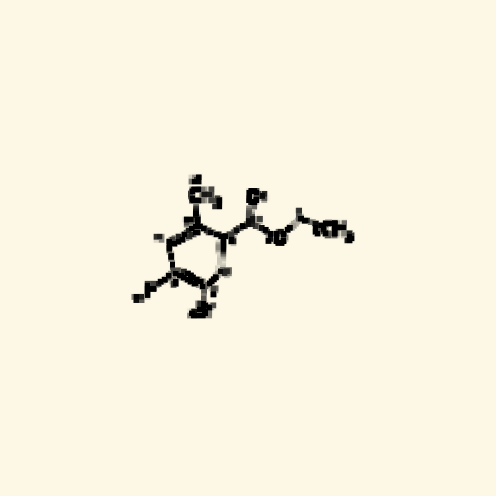 CCOC(=O)c1cc(Br)c(F)cc1C